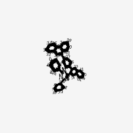 c1ccc(-c2nc(-c3ccccc3)nc(-c3cc4ccccc4cc3-c3ccc(-c4cc5ccccc5c5ccccc45)cc3)n2)cc1